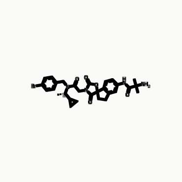 C[C@@H](C1CC1)N(Cc1ccc(Br)cc1)C(=O)CN1C(=O)OC2(CCc3cc(NC(=O)C(C)(C)N)ccc32)C1=O